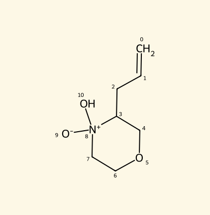 C=CCC1COCC[N+]1([O-])O